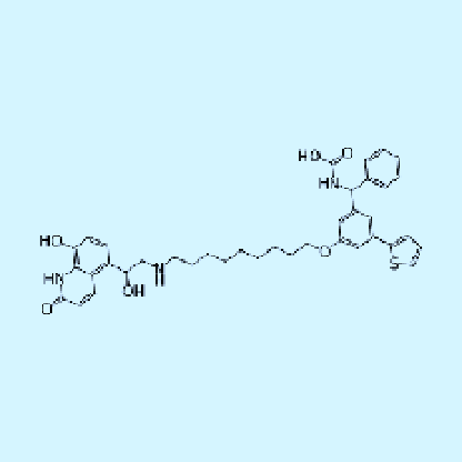 O=C(O)NC(c1ccccc1)c1cc(OCCCCCCCCCNC[C@@H](O)c2ccc(O)c3[nH]c(=O)ccc23)cc(-c2cccs2)c1